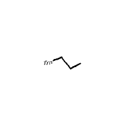 CC[CH2][Tm]